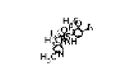 COc1c(C#N)ccc([SH]2NN(c3ccc(C)nc3)C(C)(C)C2=O)c1F